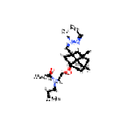 CC/C=N\N(CC12CC3(C)CC4(C)CC(OCCN(CCOC)C(=O)OC)(C1)C32C4)C(C)C